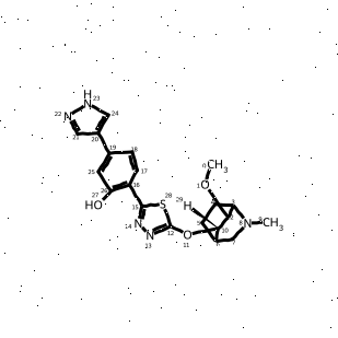 COC1C2CCC(CN2C)[C@@H]1Oc1nnc(-c2ccc(-c3cn[nH]c3)cc2O)s1